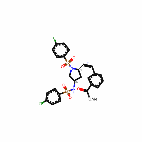 COC(=O)c1cccc(/C=C\[C@@H]2C[C@@H](NS(=O)(=O)c3ccc(Cl)cc3)CN2S(=O)(=O)c2ccc(Cl)cc2)c1